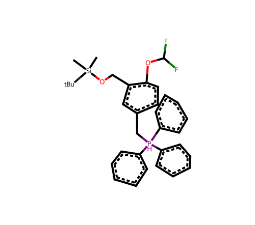 CC(C)(C)[Si](C)(C)OCc1cc(C[PH](c2ccccc2)(c2ccccc2)c2ccccc2)ccc1OC(F)F